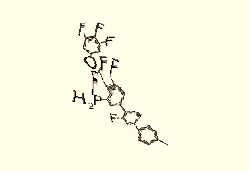 Cc1ccc(-c2ccc(-c3cc(F)c(C(F)(F)Oc4cc(F)c(F)c(F)c4)c(P)c3)c(F)c2)cc1